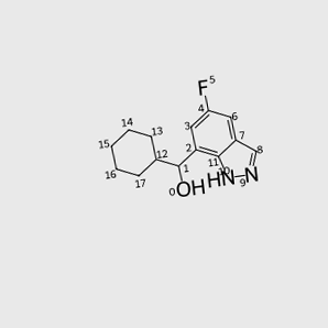 OC(c1cc(F)cc2cn[nH]c12)C1CCCCC1